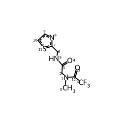 CN(CC(=O)NCc1nccs1)C(=O)C(F)(F)F